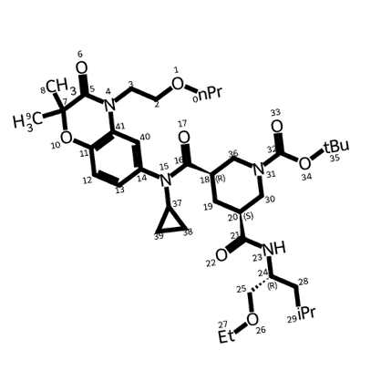 CCCOCCN1C(=O)C(C)(C)Oc2ccc(N(C(=O)[C@@H]3C[C@H](C(=O)N[C@@H](COCC)CC(C)C)CN(C(=O)OC(C)(C)C)C3)C3CC3)cc21